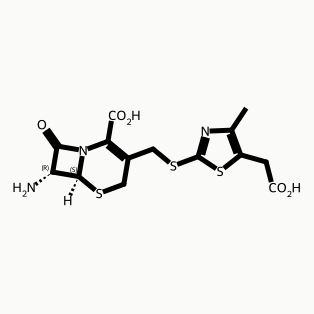 Cc1nc(SCC2=C(C(=O)O)N3C(=O)[C@@H](N)[C@@H]3SC2)sc1CC(=O)O